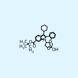 CC(C)(C)OC(=O)c1ccc2c(C3CCCCC3)c(-c3ccccc3OCC(=O)O)n(C3CCCC3)c2c1